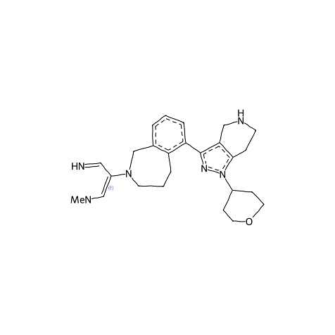 CN/C=C(\C=N)N1CCCc2c(cccc2-c2nn(C3CCOCC3)c3c2CNCC3)C1